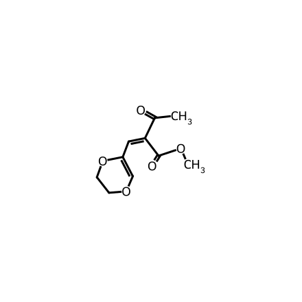 COC(=O)C(=CC1=COCCO1)C(C)=O